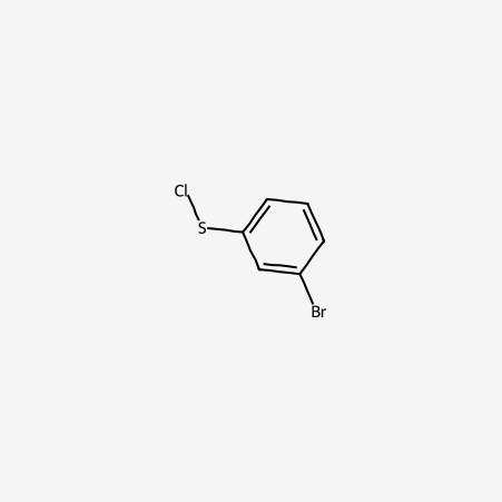 ClSc1cccc(Br)c1